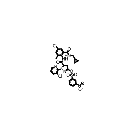 Cc1cc(Cl)cc(C(=O)NCC2CC2)c1NC(=O)C1CC(OS(=O)(=O)c2cccc([N+](=O)[O-])c2)=NN1c1ncccc1Cl